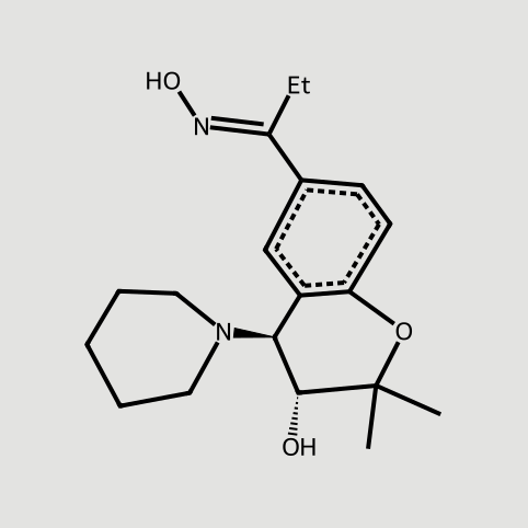 CCC(=NO)c1ccc2c(c1)[C@H](N1CCCCC1)[C@@H](O)C(C)(C)O2